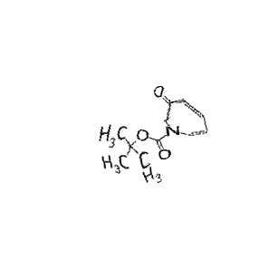 CC(C)(C)OC(=O)N1C=CC=CC(=O)C1